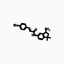 CC(C)(C)c1ccc(/C=C/C(=O)Nc2ccc3c(c2)C(N)CC3(C)C)cc1